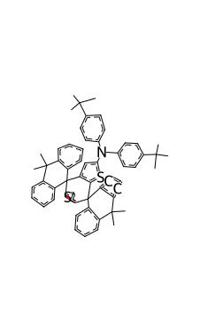 CC(C)(C)c1ccc(N(c2ccc(C(C)(C)C)cc2)c2cc3c(s2)C2(c4ccccc4C(C)(C)c4ccccc42)c2ccsc2C32c3ccccc3C(C)(C)c3ccccc32)cc1